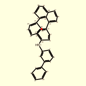 c1ccc(-c2cccc(Nc3ccc(-c4cccc5cccc(-c6ccccc6)c45)cc3)c2)cc1